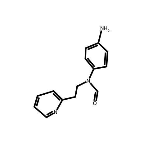 Nc1ccc(N(C=O)CCc2ccccn2)cc1